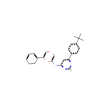 CC(C)(C)c1ccc(-c2cc(NC3=COC=C(C4=CC=CCC4)O3)nc(Cl)n2)cc1